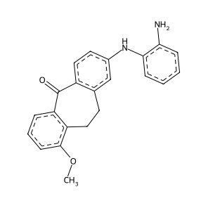 COc1cccc2c1CCc1cc(Nc3ccccc3N)ccc1C2=O